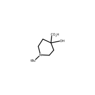 CC(C)(C)N1CCC(O)(C(=O)O)CC1